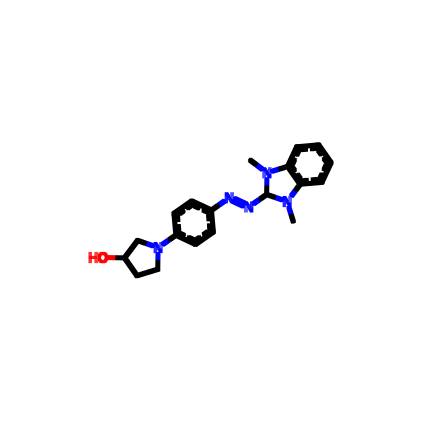 CN1c2ccccc2N(C)C1N=Nc1ccc(N2CCC(O)C2)cc1